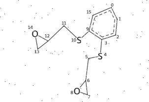 c1ccc(SCC2CO2)c(SCC2CO2)c1